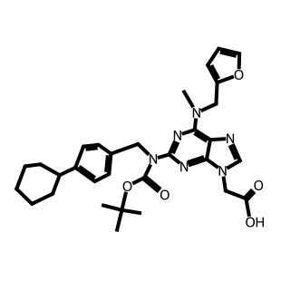 CN(Cc1ccco1)c1nc(N(Cc2ccc(C3CCCCC3)cc2)C(=O)OC(C)(C)C)nc2c1ncn2CC(=O)O